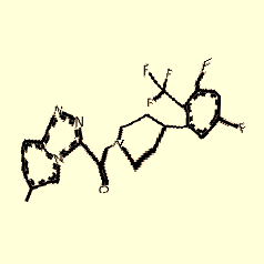 Cc1ccc2nnc(C(=O)N3CCC(c4cc(F)cc(F)c4C(F)(F)F)CC3)n2c1